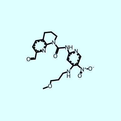 COCCCNc1cc(NC(=O)N2CCCc3ccc(C=O)nc32)ncc1[N+](=O)[O-]